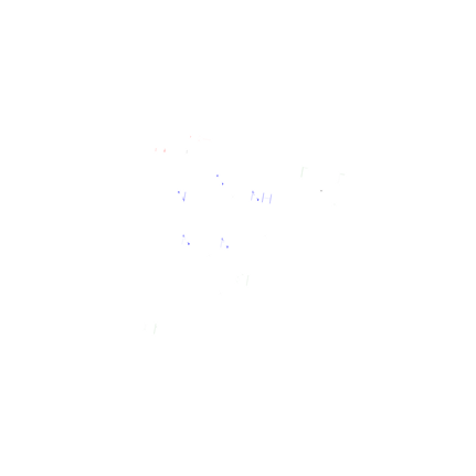 CC(Nc1nc(C(=O)O)nc2nc(-c3cc(Cl)ccc3Cl)n(Cc3ccc(C(F)(F)F)cc3)c12)C1CCC1